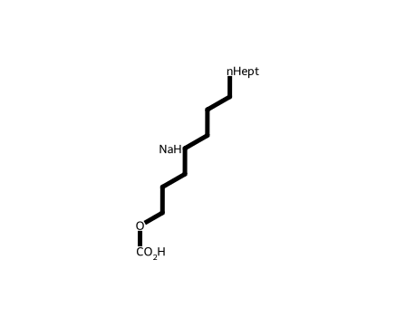 CCCCCCCCCCCCCCOC(=O)O.[NaH]